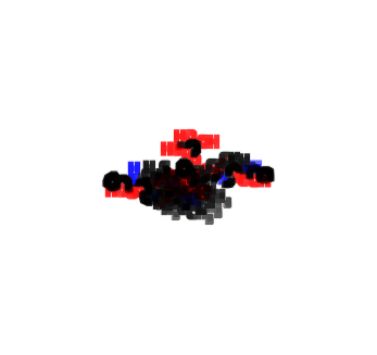 C#CCC(OC(=O)N(C)[C@H](C(=O)N[C@H](C(=O)N(C)[C@@H](C(C)CC)[C@@H](CC(=O)N1CCC[C@H]1[C@H](OC)[C@@H](C)C(=O)NC(Cc1ccccc1)C(=O)O)OC)C(C)C)C(C)C)c1ccc(O[C@H]2C[C@@H](O)[C@@H](O)[C@@H](CO)O2)c2cc(COC(=O)N(C)[C@H](C(=O)N[C@H](C(=O)N(C)[C@@H](C(C)CC)[C@@H](CC(=O)N3CCC[C@H]3[C@H](OC)[C@@H](C)C(=O)NC(Cc3ccccc3)C(=O)O)OC)C(C)C)C(C)C)oc12